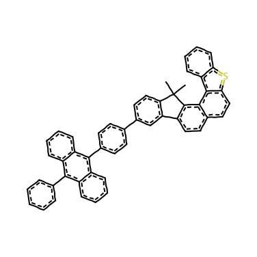 CC1(C)c2ccc(-c3ccc(-c4c5ccccc5c(-c5ccccc5)c5ccccc45)cc3)cc2-c2ccc3ccc4sc5ccccc5c4c3c21